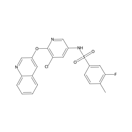 Cc1ccc(S(=O)(=O)Nc2cnc(Oc3cnc4ccccc4c3)c(Cl)c2)cc1F